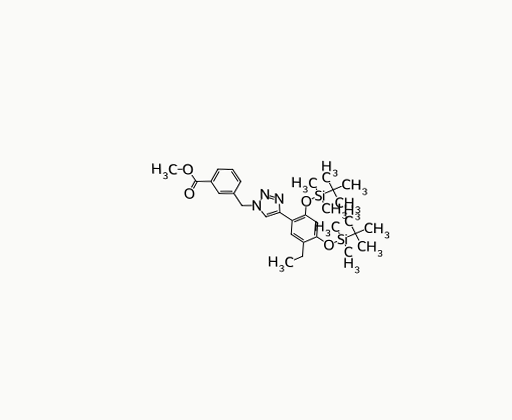 CCc1cc(-c2cn(Cc3cccc(C(=O)OC)c3)nn2)c(O[Si](C)(C)C(C)(C)C)cc1O[Si](C)(C)C(C)(C)C